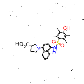 Cc1c(C)c(S(=O)(=O)Nc2ccc(N3CC[C@H](C(=O)O)C3)c3ccccc23)c(C)c(C)c1O